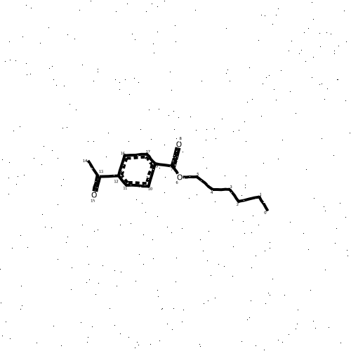 CCCCCCOC(=O)c1ccc(C(C)=O)cc1